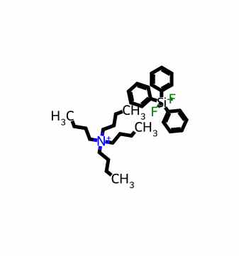 CCCC[N+](CCCC)(CCCC)CCCC.F[Si-](F)(c1ccccc1)(c1ccccc1)c1ccccc1